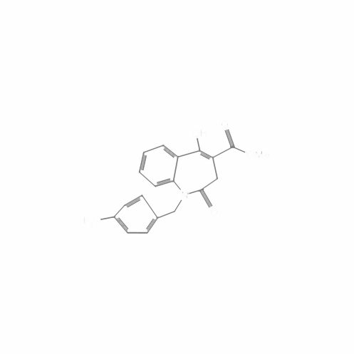 COC(=O)C1=C(O)c2ccccc2N(Cc2ccc(C(F)(F)F)cc2)C(=O)C1